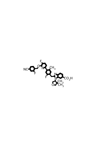 Cc1cc(Cc2nc3ccc(C(=O)O)cc3n2C2COCC2(C)C)c(F)cc1-c1ccc(F)c(OCc2ccc(C#N)cc2F)n1